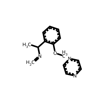 C=NC(C)c1ccccc1OC.c1cnccn1